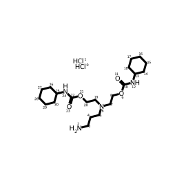 Cl.Cl.NCCCN(CCOC(=O)NC1CCCCC1)CCOC(=O)NC1CCCCC1